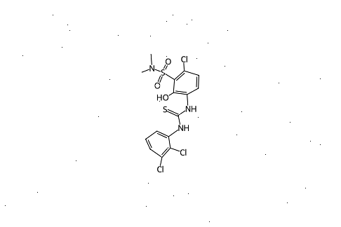 CN(C)S(=O)(=O)c1c(Cl)ccc(NC(=S)Nc2cccc(Cl)c2Cl)c1O